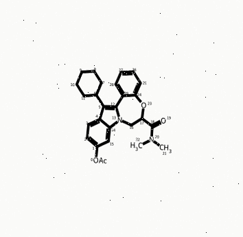 CC(=O)Oc1ccc2c(C3CCCCC3)c3n(c2c1)CC(C(=O)N(C)C)Oc1ccccc1-3